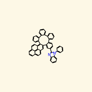 c1ccc(-n2c(-c3ccc4c5ccccc5c5ccccc5c5ccccc5c5c(cc6ccc7cccc8ccc5c6c78)c4c3)nc3ccccc32)cc1